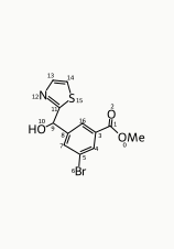 COC(=O)c1cc(Br)cc(C(O)c2nccs2)c1